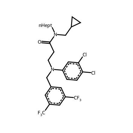 CCCCCCCN(CC1CC1)C(=O)CCN(Cc1cc(C(F)(F)F)cc(C(F)(F)F)c1)c1ccc(Cl)c(Cl)c1